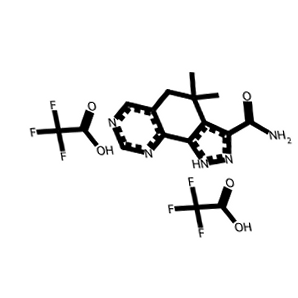 CC1(C)Cc2cncnc2-c2[nH]nc(C(N)=O)c21.O=C(O)C(F)(F)F.O=C(O)C(F)(F)F